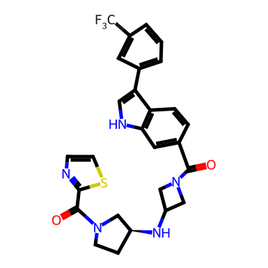 O=C(c1ccc2c(-c3cccc(C(F)(F)F)c3)c[nH]c2c1)N1CC(N[C@H]2CCN(C(=O)c3nccs3)C2)C1